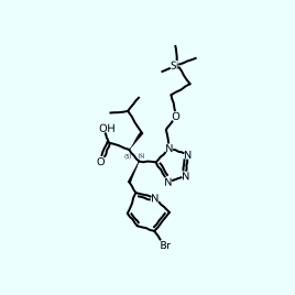 CC(C)C[C@H](C(=O)O)[C@H](Cc1ccc(Br)cn1)c1nnnn1COCC[Si](C)(C)C